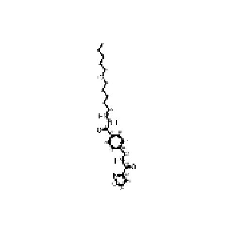 CCCCCOCCCCCNNC(=O)c1ccc(CNC(=O)c2ccon2)cc1